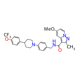 COc1ccn2nc(C)c(C(=O)NCc3ccc(N4CCC(c5ccc(OC(F)(F)F)cc5)CC4)cc3)c2c1